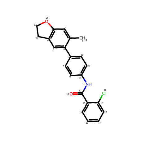 Cc1cc2c(cc1-c1ccc(NC(=O)c3ccccc3Cl)cc1)CCO2